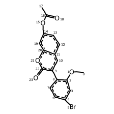 COc1cc(Br)ccc1-c1cc2ccc(OC(C)=O)cc2oc1=O